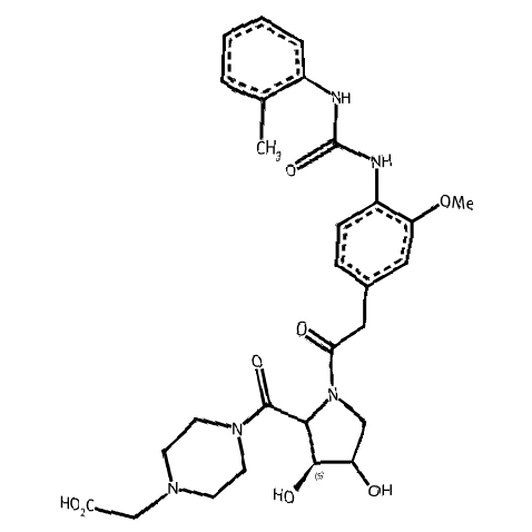 COc1cc(CC(=O)N2CC(O)[C@@H](O)C2C(=O)N2CCN(CC(=O)O)CC2)ccc1NC(=O)Nc1ccccc1C